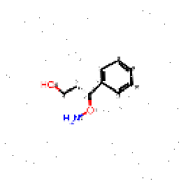 NO[C@H](CCO)c1ccccc1